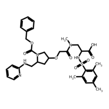 Cc1cc(C)c(S(=O)(=O)NC(CN(C)C(=O)COC2CC(CNc3ccccn3)N(C(=O)OCc3ccccc3)C2)C(=O)O)c(C)c1